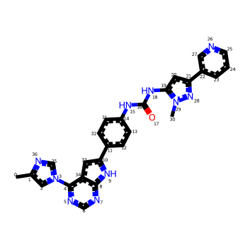 Cc1cn(-c2ncnc3[nH]c(-c4ccc(NC(=O)Nc5cc(-c6cccnc6)nn5C)cc4)cc23)cn1